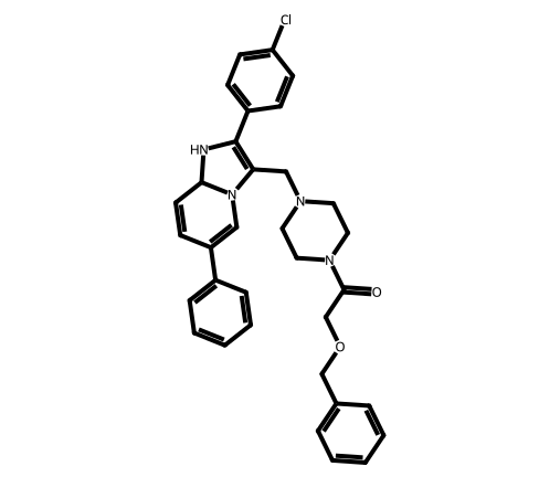 O=C(COCc1ccccc1)N1CCN(CC2=C(c3ccc(Cl)cc3)NC3C=CC(c4ccccc4)=CN23)CC1